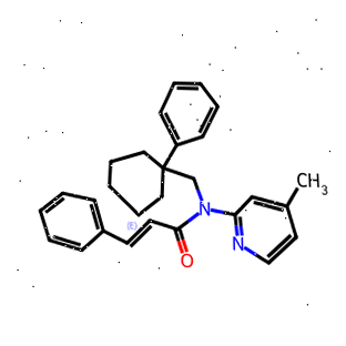 Cc1ccnc(N(CC2(c3ccccc3)CCCCC2)C(=O)/C=C/c2ccccc2)c1